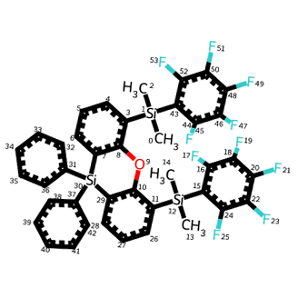 C[Si](C)(c1cccc2c1Oc1c([Si](C)(C)c3c(F)c(F)c(F)c(F)c3F)cccc1[Si]2(c1ccccc1)c1ccccc1)c1c(F)c(F)c(F)c(F)c1F